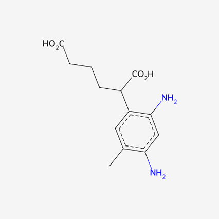 Cc1cc(C(CCCC(=O)O)C(=O)O)c(N)cc1N